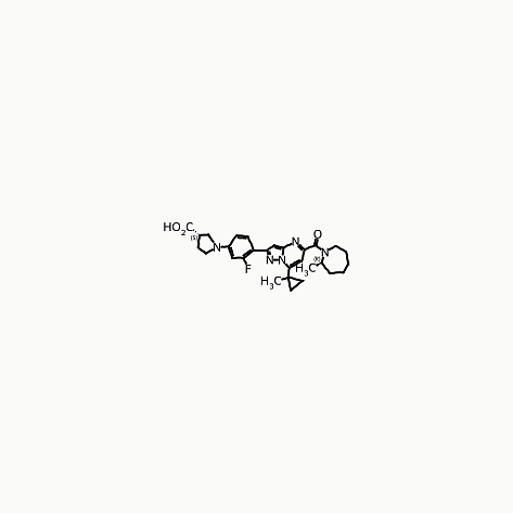 C[C@@H]1CCCCCN1C(=O)c1cc(C2(C)CC2)n2nc(-c3ccc(N4CC[C@H](C(=O)O)C4)cc3F)cc2n1